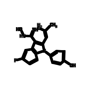 CC(C)=Cc1c(C(=N)NO)c2cc(F)ccc2n1-c1ccc(O)cc1